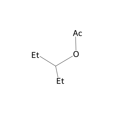 [CH2]C(=O)OC(CC)CC